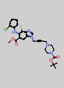 COC(=O)c1cc2c(ncn2CC#CCN2CCN(C(=O)OC(C)(C)C)CC2)c(F)c1Nc1ccccc1Cl